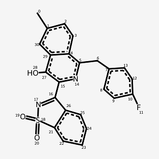 Cc1ccc2c(Cc3ccc(F)cc3)nc(C3=NS(=O)(=O)c4ccccc43)c(O)c2c1